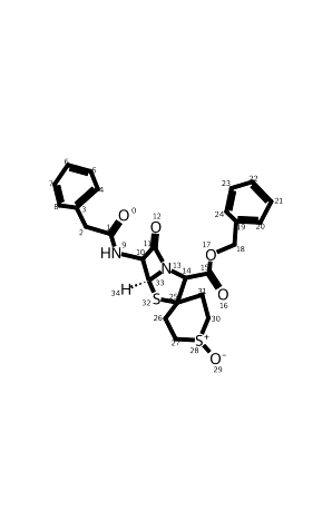 O=C(Cc1ccccc1)NC1C(=O)N2C(C(=O)OCc3ccccc3)C3(CC[S+]([O-])CC3)S[C@@H]12